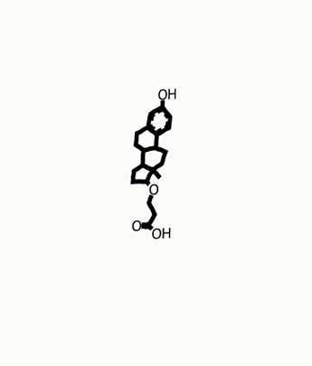 CC12CCC3c4ccc(O)cc4CCC3C1CCC2OCCC(=O)O